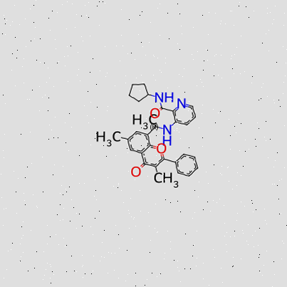 Cc1cc([C@@H](C)Nc2cccnc2C(=O)NC2CCCC2)c2oc(-c3ccccc3)c(C)c(=O)c2c1